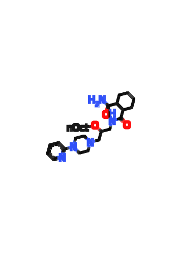 CCCCCCCCOC(CNC(=O)C1CCCCC1C(N)=O)CN1CCN(c2ccccn2)CC1